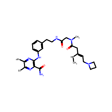 CB/C(=C\CN1CCC1)CC(=O)N(C)CC(=O)NCCc1cccc(Nc2nc(CCC)c(CC)nc2C(N)=O)c1